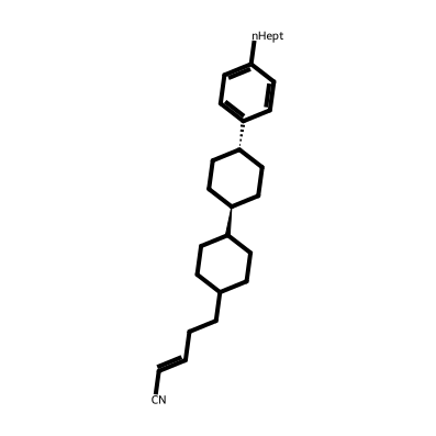 CCCCCCCc1ccc([C@H]2CC[C@H](C3CCC(CC/C=C/C#N)CC3)CC2)cc1